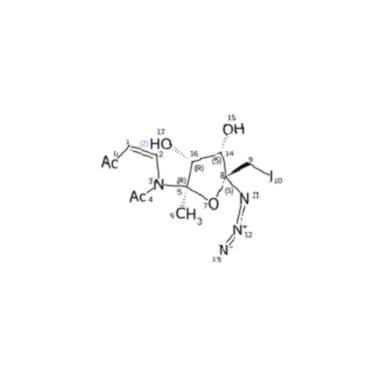 CC(=O)/C=C\N(C(C)=O)[C@]1(C)O[C@@](CI)(N=[N+]=[N-])[C@@H](O)[C@H]1O